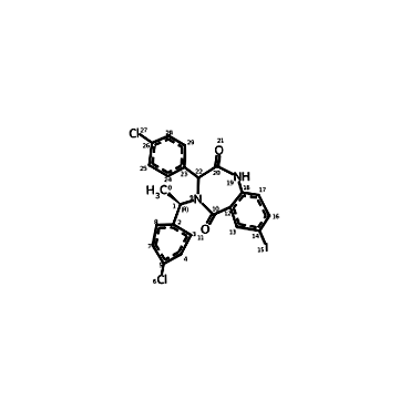 C[C@H](c1ccc(Cl)cc1)N1C(=O)c2cc(I)ccc2NC(=O)C1c1ccc(Cl)cc1